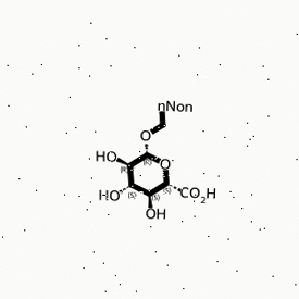 CCCCCCCCCCO[C@@H]1O[C@H](C(=O)O)[C@@H](O)[C@H](O)[C@H]1O